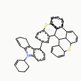 C1=CC2SC3C=CC=C(C4C=CCCC4)C3C(C3c4ccccc4Sc4ccc(-c5cccc6c5c5c(n6C6C=CCCC6)C=CCC5)cc43)C2C=C1